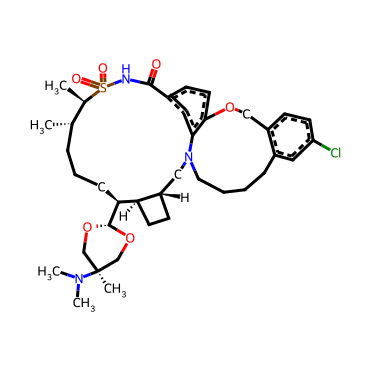 C[C@@H]1[C@@H](C)CCC[C@H]([C@H]2OC[C@](C)(N(C)C)CO2)[C@@H]2CC[C@H]2CN2CCCCc3cc(Cl)ccc3COc3ccc(cc32)C(=O)NS1(=O)=O